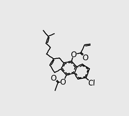 C=CC(=O)Oc1c2c(c(OC(C)=O)c3cc(Cl)ccc13)CC=C(CCC=C(C)C)C2